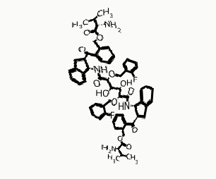 CC(C)[C@H](N)C(=O)OCc1ccccc1C(=O)[C@@H]1Cc2ccccc2[C@H]1NC(=O)[C@H](OCc1ccccc1F)[C@H](O)[C@@H](O)[C@@H](OCc1ccccc1F)C(=O)N[C@@H]1c2ccccc2C[C@H]1C(=O)c1ccccc1COC(=O)[C@@H](N)C(C)C